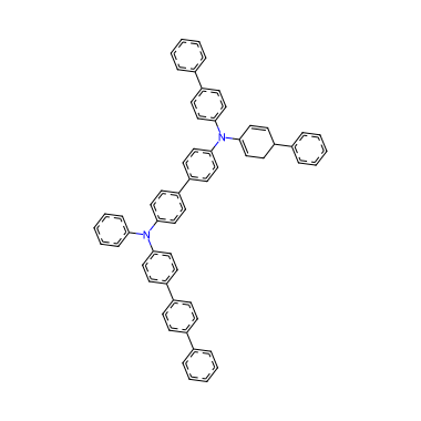 C1=CC(c2ccccc2)CC=C1N(c1ccc(-c2ccccc2)cc1)c1ccc(-c2ccc(N(c3ccccc3)c3ccc(-c4ccc(-c5ccccc5)cc4)cc3)cc2)cc1